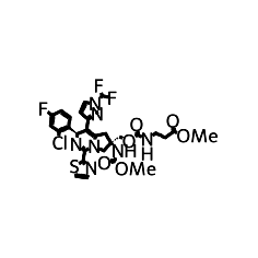 COC(=O)CCNC(=O)OC[C@@]1(NC(=O)OC)CC2=C(c3ccn(C(F)F)n3)[C@H](c3ccc(F)cc3Cl)N=C(c3nccs3)N2C1